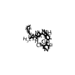 C[C@@H](Oc1ccc2[nH]nc(-c3cnc(N4CC(C)(OCCN5CCCC5)C4)c(F)c3)c2c1)c1c(Cl)cncc1Cl